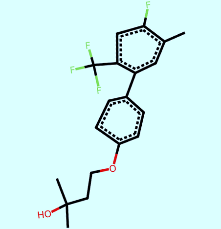 Cc1cc(-c2ccc(OCCC(C)(C)O)cc2)c(C(F)(F)F)cc1F